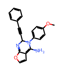 COc1ccc(N2C(N)=c3ccoc3=NC2C#Cc2ccccc2)cc1